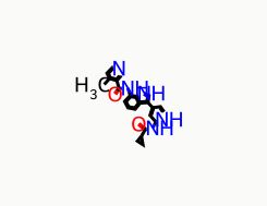 Cc1ccncc1C(=O)Nc1cccc2c(C3=CC(NC(=O)C4CC4)NC=C3)c[nH]c12